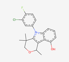 CC1OCC(C)(C)c2c1c1c(O)cccc1n2-c1ccc(F)c(Cl)c1